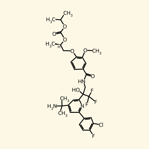 COc1cc(C(=O)NCC(O)(c2cc(C(C)(C)N)cc(-c3ccc(F)c(Cl)c3)n2)C(F)(F)F)ccc1OC[C@@H](C)OC(=O)OC(C)C